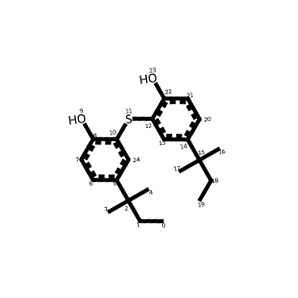 CCC(C)(C)c1ccc(O)c(Sc2cc(C(C)(C)CC)ccc2O)c1